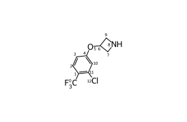 FC(F)(F)c1ccc(OC2CNC2)cc1Cl